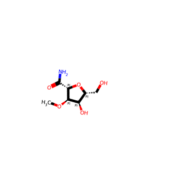 CO[C@@H]1[C@H](O)[C@@H](CO)O[C@H]1C(N)=O